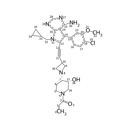 C=CC(=O)N1CC[C@H](N2CC(C#Cc3c(-c4ccc(Cl)c(OC)c4)c4c(N)ncnc4n3CC3CC3)C2)[C@H](O)C1